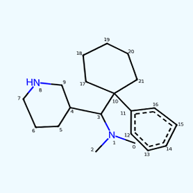 CN(C)C(C1CCCNC1)C1(c2ccccc2)CCCCC1